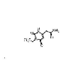 NC(=O)Cc1cc(=O)n(CC(Cl)(Cl)Cl)c(=O)[nH]1